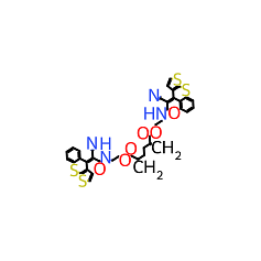 C=C(CCC(=C)C(=O)OCCNC(=O)/C(C#N)=C1\c2ccccc2Sc2sccc21)C(=O)OCCNC(=O)/C(C#N)=C1/c2ccccc2Sc2sccc21